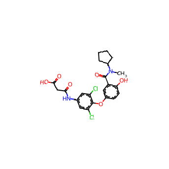 CN(C(=O)c1cc(Oc2c(Cl)cc(NC(=O)CC(=O)O)cc2Cl)ccc1O)C1CCCC1